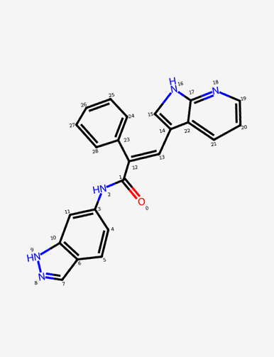 O=C(Nc1ccc2cn[nH]c2c1)C(=Cc1c[nH]c2ncccc12)c1ccccc1